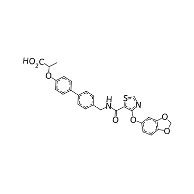 CC(Oc1ccc(-c2ccc(CNC(=O)c3scnc3Oc3ccc4c(c3)OCO4)cc2)cc1)C(=O)O